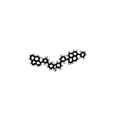 c1ccc(-c2ccc3ccc4c(-c5cccc(-c6ccc7sc8ccc(-c9cccc(-c%10ccc%11ccc%12cccc%13ccc%10c%11c%12%13)c9)cc8c7c6)c5)ccc5ccc2c3c54)cc1